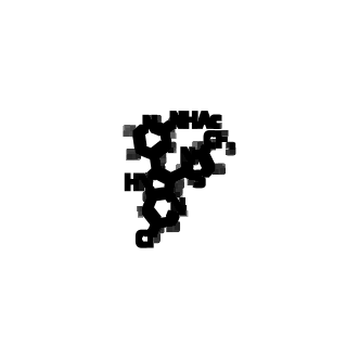 CC(=O)Nc1cc(-c2[nH]c3cc(Cl)cnc3c2-c2nc(C(F)(F)F)cs2)ccn1